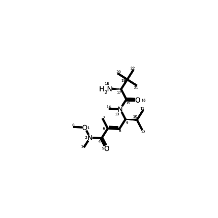 CON(C)C(=O)/C(C)=C/[C@H](C(C)C)N(C)C(=O)[C@@H](N)C(C)(C)C